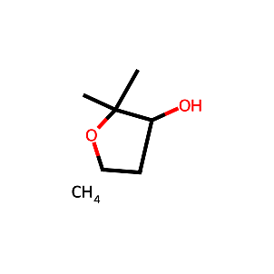 C.CC1(C)OCCC1O